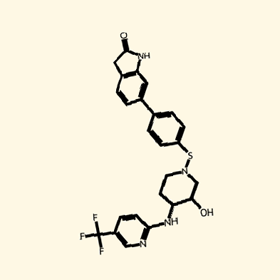 O=C1Cc2ccc(-c3ccc(SN4CCC(Nc5ccc(C(F)(F)F)cn5)C(O)C4)cc3)cc2N1